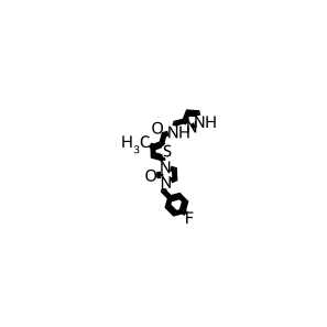 Cc1cc(N2CCN(Cc3ccc(F)cc3)C2=O)sc1C(=O)NCc1cc[nH]n1